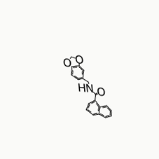 O=C(NCc1ccc2c(c1)OCO2)c1cccc2ccccc12